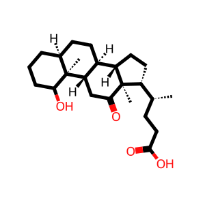 C[C@H](CCC(=O)O)[C@H]1CC[C@H]2[C@@H]3CC[C@@H]4CCCC(O)[C@]4(C)[C@H]3CC(=O)[C@]12C